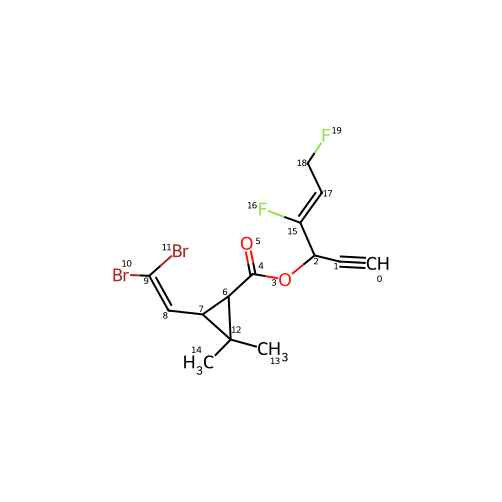 C#CC(OC(=O)C1C(C=C(Br)Br)C1(C)C)C(F)=CCF